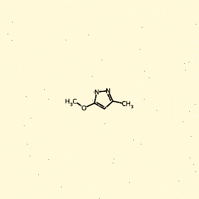 COC1=CC(C)=N[N]1